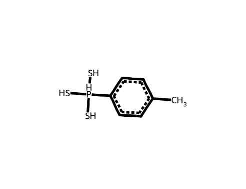 Cc1ccc([PH](S)(S)S)cc1